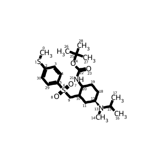 CSc1ccc(S(=O)(=O)CC2C[C@H](N(C)C(C)C)CCC2NC(=O)OC(C)(C)C)cc1